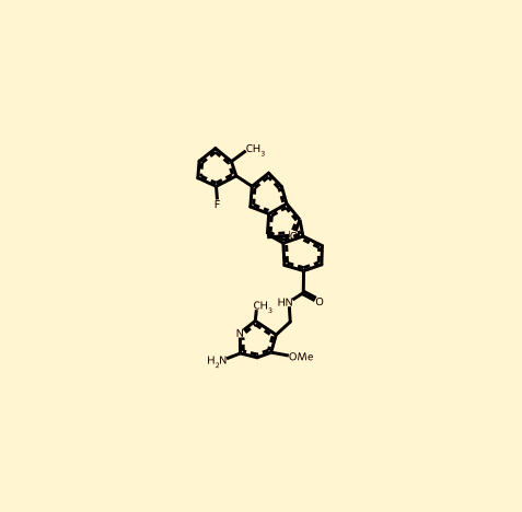 COc1cc(N)nc(C)c1CNC(=O)c1ccc2c(c1)c1oc2c2ccc(-c3c(C)cccc3F)cc21